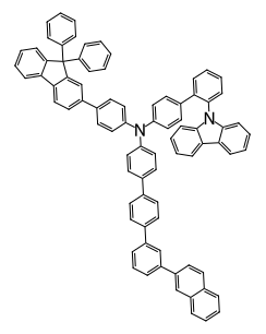 c1ccc(C2(c3ccccc3)c3ccccc3-c3ccc(-c4ccc(N(c5ccc(-c6ccc(-c7cccc(-c8ccc9ccccc9c8)c7)cc6)cc5)c5ccc(-c6ccccc6-n6c7ccccc7c7ccccc76)cc5)cc4)cc32)cc1